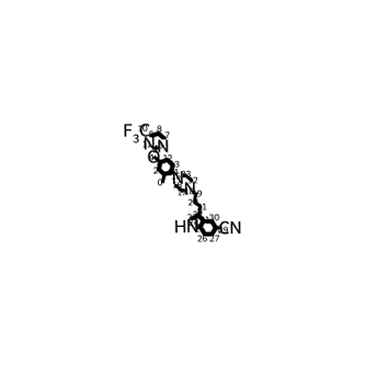 Cc1cc(Oc2nccc(C(F)(F)F)n2)ccc1N1CCN(CCCc2c[nH]c3ccc(C#N)cc23)CC1